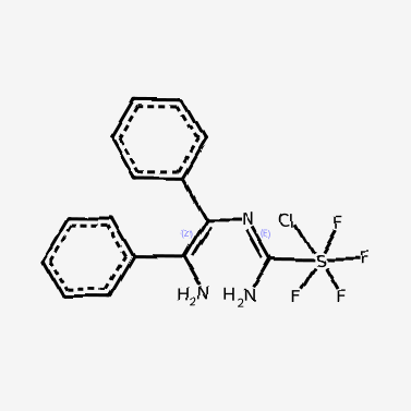 N/C(=C(\N=C(/N)S(F)(F)(F)(F)Cl)c1ccccc1)c1ccccc1